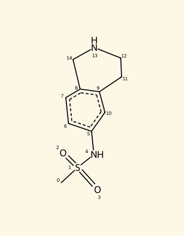 CS(=O)(=O)Nc1ccc2c(c1)CCNC2